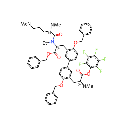 CCN(C(=O)[C@H](CCCNC)NC)[C@@H](Cc1cc(-c2ccc(OCc3ccccc3)c(C[C@H](NC)C(=O)Oc3c(F)c(F)c(F)c(F)c3F)c2)ccc1OCc1ccccc1)C(=O)OCc1ccccc1